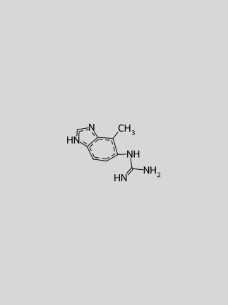 Cc1c(NC(=N)N)ccc2[nH]cnc12